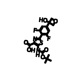 CC(C)(C)OC(=O)Nc1sc(-c2c(F)cc(C3(O)COC3)cc2F)nc1C(=O)O